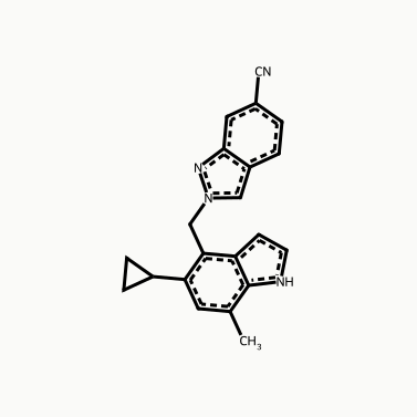 Cc1cc(C2CC2)c(Cn2cc3ccc(C#N)cc3n2)c2cc[nH]c12